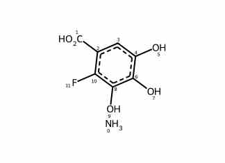 N.O=C(O)c1cc(O)c(O)c(O)c1F